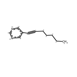 CCCCCC#Cc1cncnc1